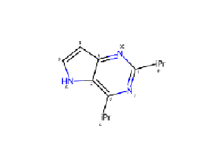 CC(C)c1nc(C(C)C)c2[nH]ccc2n1